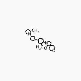 Cc1cc(N2CC[C@@H](N3CCC[C@@H]3C)C2)ccc1N1CCC2(CCOCC2)C1=O